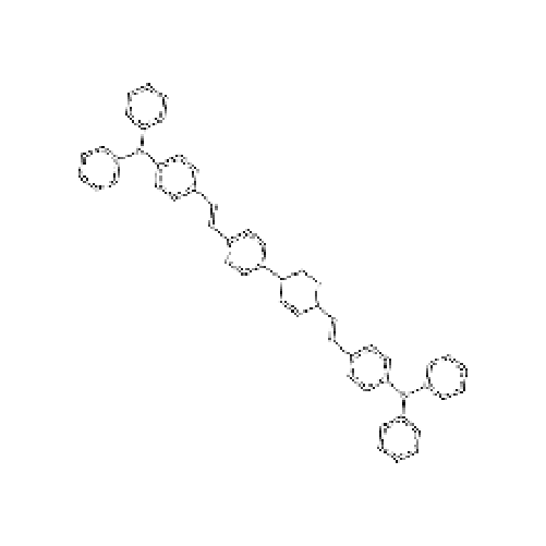 C1=CC(c2ccc(/C=C/c3ccc(N(c4ccccc4)c4ccccc4)cc3)cc2)CC=C1/C=C/c1ccc(N(c2ccccc2)c2ccccc2)cc1